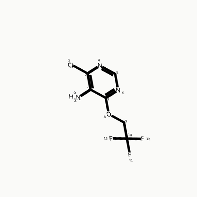 Nc1c(Cl)ncnc1OCC(F)(F)F